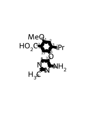 COc1cc(C(C)C)c(Oc2cnc(C)nc2N)cc1C(=O)O